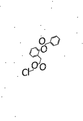 O=C(Cc1ccccc1OC(=O)c1ccccc1)OCCl